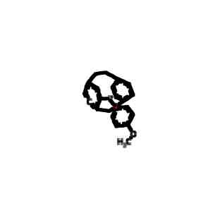 COc1ccc([I+]c2cc3ccc2CCc2ccc(cc2)CC3)cc1